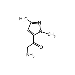 Cc1cc(C(=O)CN)n(C)n1